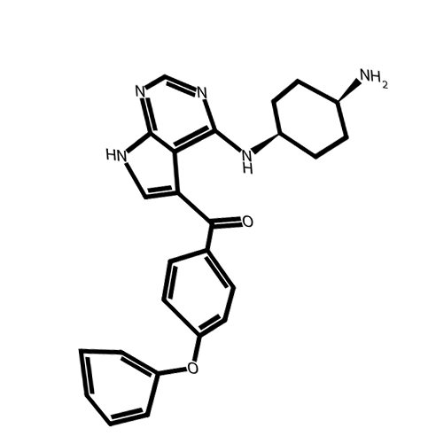 N[C@H]1CC[C@@H](Nc2ncnc3[nH]cc(C(=O)c4ccc(Oc5ccccc5)cc4)c23)CC1